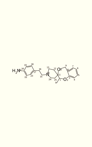 CC1Oc2ccccc2COC12CCN(CCc1ccc(N)cc1)CC2